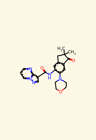 CC1(C)Cc2cc(NC(=O)c3cnn4cccnc34)c(N3CCOCC3)cc2C1=O